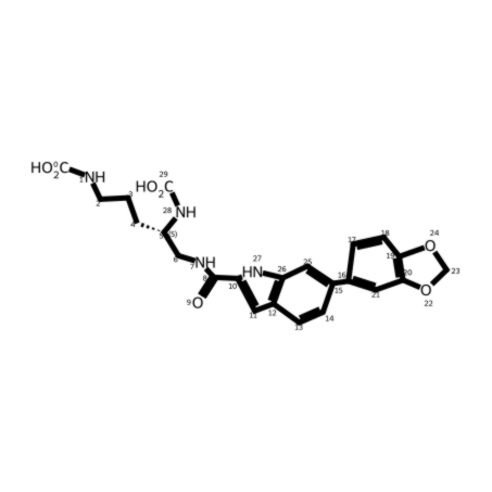 O=C(O)NCCC[C@@H](CNC(=O)c1cc2ccc(-c3ccc4c(c3)OCO4)cc2[nH]1)NC(=O)O